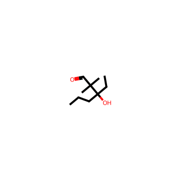 CCCC(O)(CC)C(C)(C)C=O